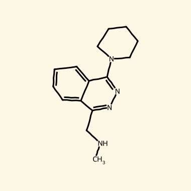 CNCc1nnc(N2CCCCC2)c2ccccc12